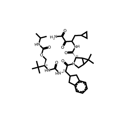 CC(C)NC(=O)OC[C@@H](NC(=O)N[C@H](C(=O)N1CC2C([C@H]1C(=O)NC(CC1CC1)C(=O)C(N)=O)C2(C)C)C1Cc2ccccc2C1)C(C)(C)C